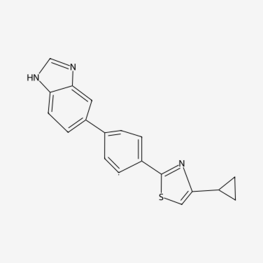 [c]1cc(-c2ccc3[nH]cnc3c2)ccc1-c1nc(C2CC2)cs1